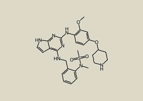 COc1cc(OC2CCNCC2)ccc1Nc1nc(NCc2ccccc2N(C)S(C)(=O)=O)c2cc[nH]c2n1